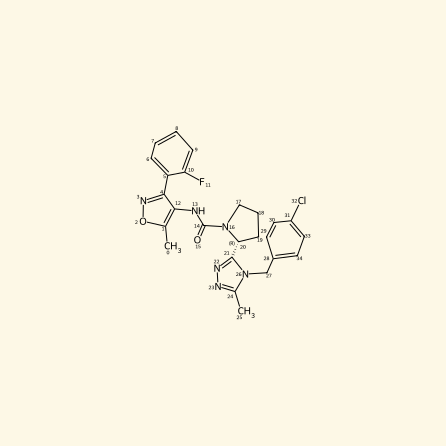 Cc1onc(-c2ccccc2F)c1NC(=O)N1CCC[C@@H]1c1nnc(C)n1Cc1ccc(Cl)cc1